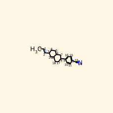 C/C=C/C1CCC2CC(c3ccc(C#N)cc3)CCC2C1